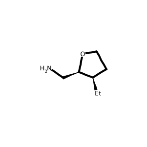 CC[C@@H]1CCO[C@@H]1CN